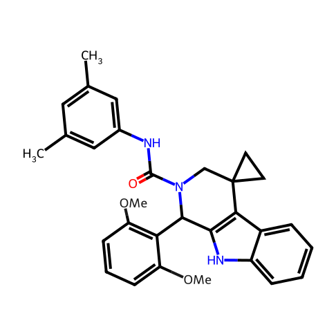 COc1cccc(OC)c1C1c2[nH]c3ccccc3c2C2(CC2)CN1C(=O)Nc1cc(C)cc(C)c1